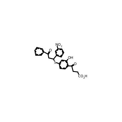 O=C(O)CCC(=O)c1ccc(SC(CC(=O)c2ccccc2)c2cccc([N+](=O)[O-])c2)cc1O